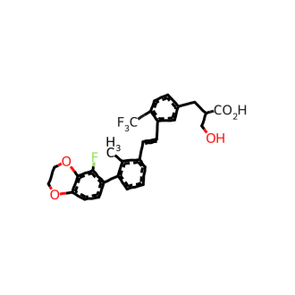 Cc1c(/C=C/c2cc(CC(CO)C(=O)O)ccc2C(F)(F)F)cccc1-c1ccc2c(c1F)OCCO2